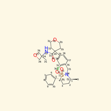 C[C@H]1CC[C@H](c2ccccc2)S(=O)(=O)N1Cc1ccc(C2(C(=O)NC3(C)COC3)CCOCC2)cc1F